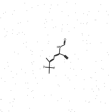 C#C/C(=C\C=C(/C)C(C)(F)F)NC=O